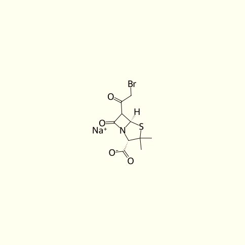 CC1(C)S[C@@H]2C(C(=O)CBr)C(=O)N2[C@H]1C(=O)[O-].[Na+]